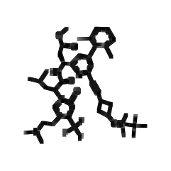 COC(=O)C[C@H](NC(=O)C(CC(C)C)n1cc(CCN(C)C)c(C(F)(F)F)cc1=O)c1cc(-c2c(C)cccc2C)cc(C#CC2CC(O[Si](C)(C)C(C)(C)C)C2)n1